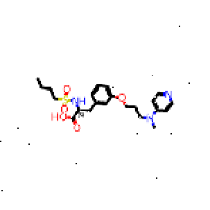 CCCCS(=O)(=O)N[C@@H](Cc1cccc(OCCCN(C)c2ccncc2)c1)C(=O)O